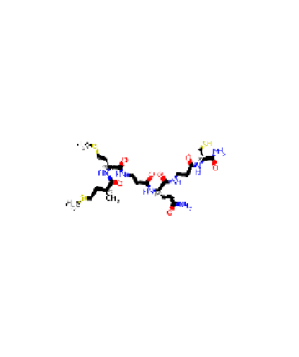 CSCC[C@H](NC(=O)[C@@H](C)CCSC)C(=O)NCCC(=O)N[C@@H](CCC(N)=O)C(=O)NCCC(=O)N[C@@H](CS)C(N)=O